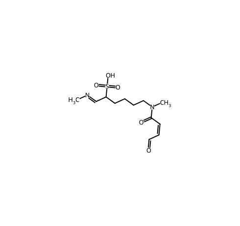 C/N=C/C(CCCCN(C)C(=O)/C=C\C=O)S(=O)(=O)O